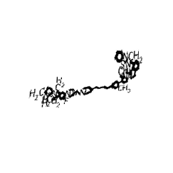 C=Cc1nc(N2CCc3cccc(C(=C)Nc4nc5ccccc5s4)c3C2)ccc1-c1ccc(CCCCC2CCN(CCN3CCN(c4cc5c(=C)n(C6CCC(=C)NC6=C)c(=C)c5cc4F)CC3)CC2)cc1C